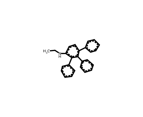 CCNc1ccc(-c2ccccc2)c(-c2ccccc2)c1-c1ccccc1